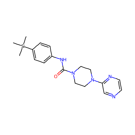 C[Si](C)(C)c1ccc(NC(=O)N2CCN(c3cnccn3)CC2)cc1